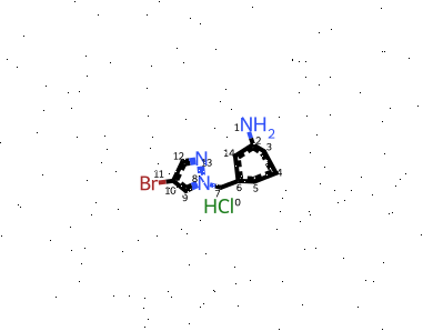 Cl.Nc1cccc(Cn2cc(Br)cn2)c1